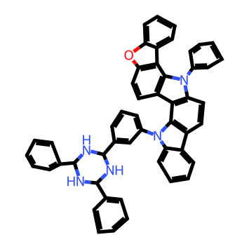 c1ccc(C2NC(c3ccccc3)NC(c3cccc(-n4c5ccccc5c5ccc6c(c7ccc8oc9ccccc9c8c7n6-c6ccccc6)c54)c3)N2)cc1